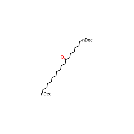 CCCCCCCCCCCCCCCCCCCCC(=O)CCCCCCCCCCCCCCCC